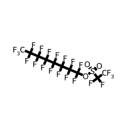 O=S(=O)(OC(F)(F)C(F)(F)C(F)(F)C(F)(F)C(F)(F)C(F)(F)C(F)(F)C(F)(F)F)C(F)(F)C(F)(F)F